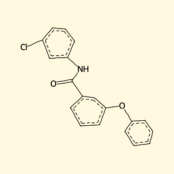 O=C(Nc1cccc(Cl)c1)c1cccc(Oc2ccccc2)c1